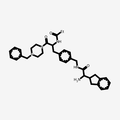 CCC(=O)NC(Cc1ccc(CNC(=O)C(N)C2Cc3ccccc3C2)cc1)C(=O)N1CCN(Cc2ccccc2)CC1